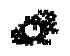 CCn1c(-c2cccnc2[C@H](C)OC)c2c3cc(ccc31)-c1cc(O)cc(c1)C[C@H](NC(=O)[C@H](C(C)C)N(C)C(=O)[C@@H]1CCC[C@H](N)C1)C(=O)N1CCC[C@H](N1)C(=O)OCC(C)(C)C2